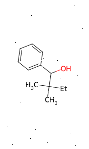 CCC(C)(C)C(O)c1ccccc1